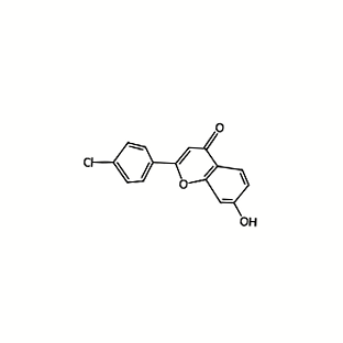 O=c1cc(-c2ccc(Cl)cc2)oc2cc(O)ccc12